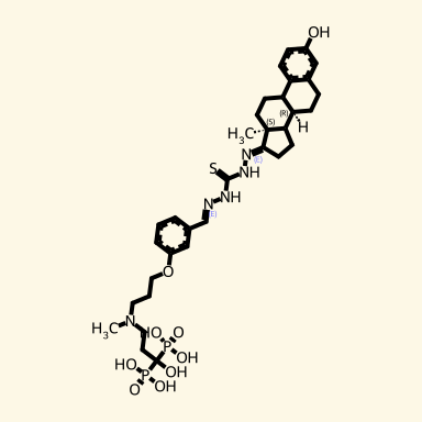 CN(CCCOc1cccc(/C=N/NC(=S)N/N=C2\CCC3[C@@H]4CCc5cc(O)ccc5C4CC[C@]23C)c1)CCC(O)(P(=O)(O)O)P(=O)(O)O